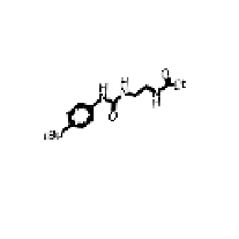 CCC(=O)NCCNC(=O)Nc1ccc(C(C)(C)C)cc1